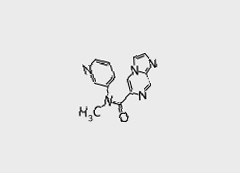 CN(C(=O)c1cn2ccnc2cn1)c1cccnc1